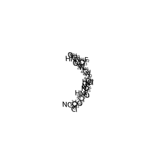 Cl.N#Cc1ccc(O[C@H]2CC[C@H](NC(=O)c3ccc(N4CCC(CN5CCC(n6ccc7c(N8CCC(=O)NC8=O)cc(F)cc76)CC5)CC4)nn3)CC2)cc1Cl